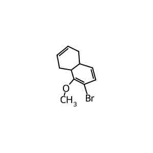 COC1=C(Br)C=CC2CC=CCC12